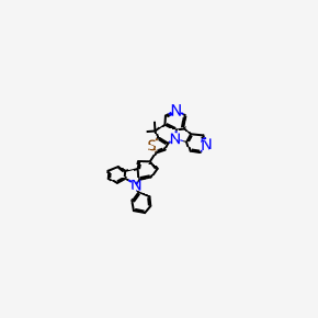 CC1(C)c2sc(-c3ccc4c(c3)c3ccccc3n4-c3ccccc3)cc2-n2c3ccncc3c3cncc1c32